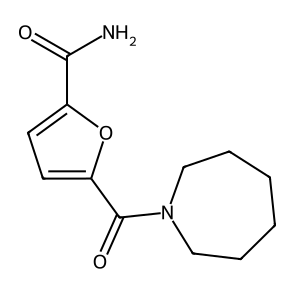 NC(=O)c1ccc(C(=O)N2CCCCCC2)o1